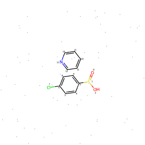 O=S(O)c1ccc(Cl)cc1.c1ccncc1